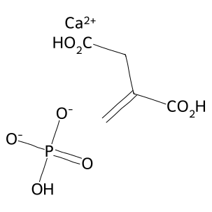 C=C(CC(=O)O)C(=O)O.O=P([O-])([O-])O.[Ca+2]